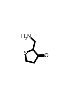 NCC1SCCC1=O